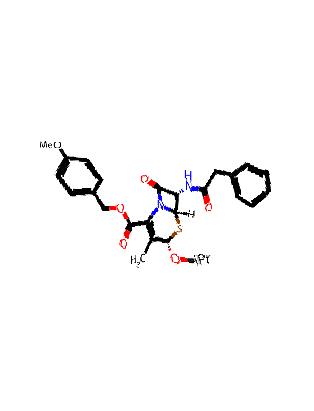 COc1ccc(COC(=O)C2=C(C)[C@@H](OC(C)C)S[C@H]3[C@@H](NC(=O)Cc4ccccc4)C(=O)N23)cc1